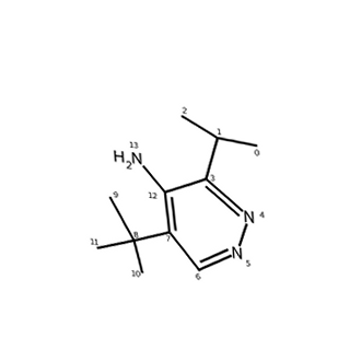 CC(C)c1nncc(C(C)(C)C)c1N